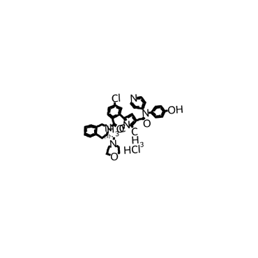 Cc1c(C(=O)N(c2ccncc2)c2ccc(O)cc2)cc(-c2cc(Cl)ccc2C(=O)N2Cc3ccccc3C[C@H]2CN2CCOCC2)n1C.Cl